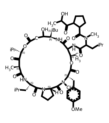 CC[C@H](C)[C@H]1NC(=O)C(NC(=O)C(CC(C)C)N(C)C(=O)C2CCCC2C(=O)C(C)O)[C@@H](C)OC(=O)[C@H](Cc2ccc(OC)cc2)N(C)C(=O)[C@@H]2CCCN2C(=O)[C@H](CC(C)C)NC(=O)[C@@H](C)C(=O)[C@H](C(C)C)OC(=O)CC1O